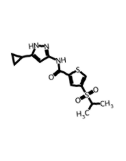 CC(C)S(=O)(=O)c1csc(C(=O)Nc2cc(C3CC3)[nH]n2)c1